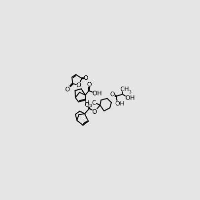 CC(O)C(=O)O.CC1(OC(=O)C23C=CC(CC2)C3)CCCCC1.O=C(O)C12C=CC(CC1)C2.O=C1C=CC(=O)O1